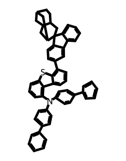 c1ccc(-c2ccc(N(c3ccc(-c4ccccc4)cc3)c3cccc4sc5c(-c6ccc7c(c6)-c6ccccc6C76CC7CCC8CC7CC6C8)cccc5c34)cc2)cc1